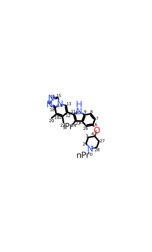 CCCN1CCC(Oc2ccc3[nH]c(-c4cn5cnnc5c(C)c4C)c(C(C)C)c3c2)CC1